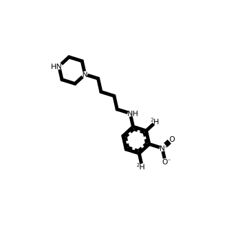 [2H]c1ccc(NCCCCN2CCNCC2)c([2H])c1[N+](=O)[O-]